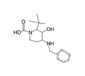 CC(C)(C)C1C(O)C(NCc2ccccc2)CCN1C(=O)O